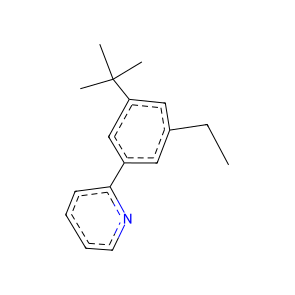 CCc1cc(-c2ccccn2)cc(C(C)(C)C)c1